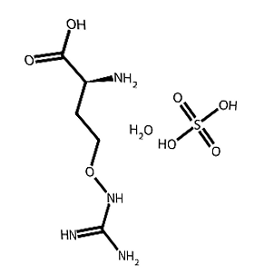 N=C(N)NOCC[C@H](N)C(=O)O.O.O=S(=O)(O)O